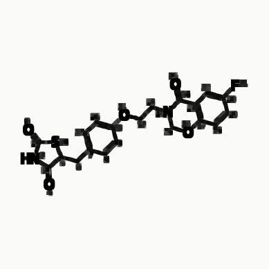 O=C1NC(=O)C(Cc2ccc(OCCN3COc4ccc(F)cc4C3=O)cc2)S1